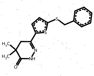 CC1(C)CC(c2ccc(SCc3ccccc3)s2)=NNC1=O